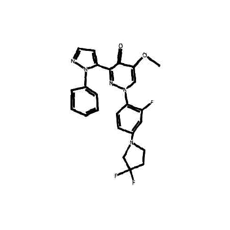 COc1cn(-c2ccc(N3CCC(F)(F)C3)cc2F)nc(-c2ccnn2-c2ccccc2)c1=O